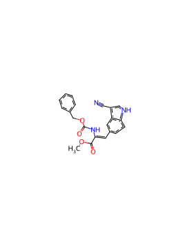 COC(=O)C(=Cc1ccc2[nH]cc(C#N)c2c1)NC(=O)OCc1ccccc1